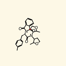 Cc1ccc(C[C@H](C(=O)N(C2CCOC2C)C2CCOC2C)N2C(=O)c3ccccc3C2=O)cc1